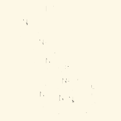 Cc1cnc2cc(N3CCN(c4cc(F)cnc4C)CC3)c(=O)n(Cc3ncccc3C(F)(F)F)c2n1